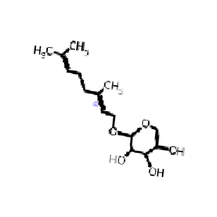 CC(C)=CCC/C(C)=C/COC1OCC(O)C(O)C1O